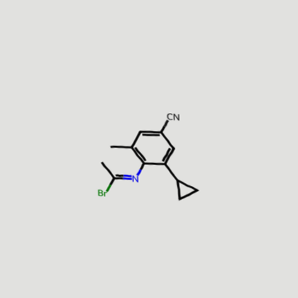 C/C(Br)=N\c1c(C)cc(C#N)cc1C1CC1